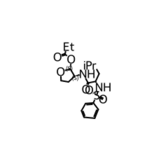 CCC(=O)O[C@@H]1OCC[C@@H]1NC(=O)C(CC(C)C)NS(=O)(=O)c1ccccc1